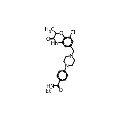 CCNC(=O)c1ccc(N2CCN(Cc3cc(Cl)c4c(c3)NC(=O)C(C)O4)CC2)cc1